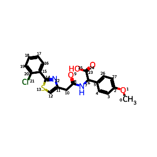 COc1ccc(C(NC(=O)Cc2csc(-c3ccccc3Cl)n2)C(=O)O)cc1